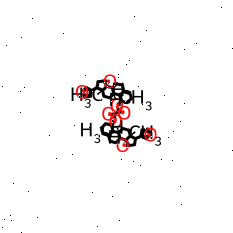 C[C@@]12C(=CCCC1OC(=O)C(=O)OC1CCC=C3CC[C@@H]4[C@@H](CC[C@]5(C)C(c6ccoc6)CC6O[C@]645)[C@]31C)CC[C@@H]1[C@H]2CC[C@]2(C)C(c3ccoc3)CC3O[C@]312